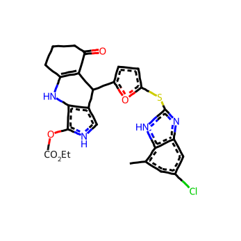 CCOC(=O)Oc1[nH]cc2c1NC1=C(C(=O)CCC1)C2c1ccc(Sc2nc3cc(Cl)cc(C)c3[nH]2)o1